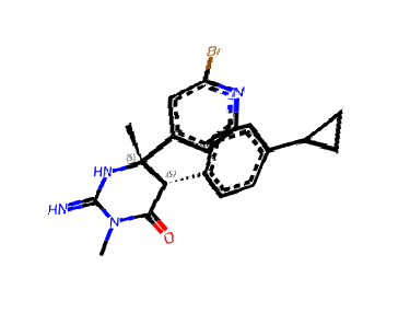 CN1C(=N)N[C@](C)(c2ccnc(Br)c2)[C@H](c2ccc(C3CC3)cc2)C1=O